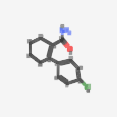 NC(=O)C1=C(c2ccc(Cl)cc2)CCCC1